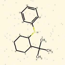 CC(C)(C)C1CCCCC1Sc1ccccc1